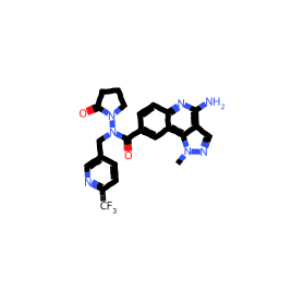 Cn1ncc2c(N)nc3ccc(C(=O)N(Cc4ccc(C(F)(F)F)nc4)N4CCCC4=O)cc3c21